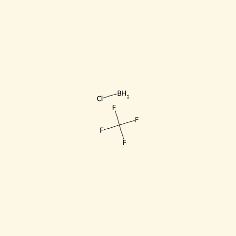 BCl.FC(F)(F)F